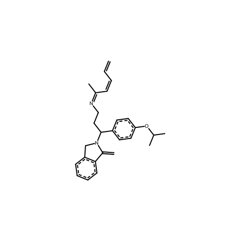 C=C/C=C\C(C)=N/CCC(c1ccc(OC(C)C)cc1)N1Cc2ccccc2C1=C